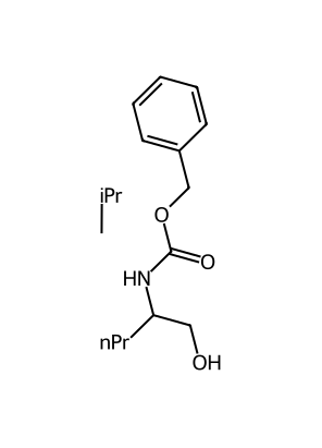 CC(C)C.CCCC(CO)NC(=O)OCc1ccccc1